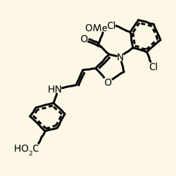 COC(=O)C1=C(/C=C/Nc2ccc(C(=O)O)cc2)OCN1c1c(Cl)cccc1Cl